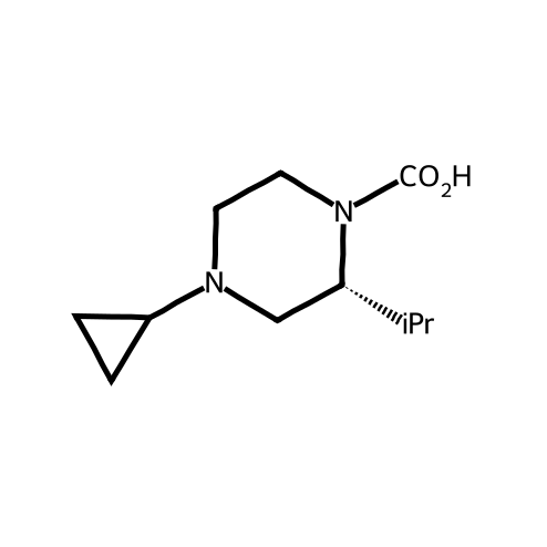 CC(C)[C@@H]1CN(C2CC2)CCN1C(=O)O